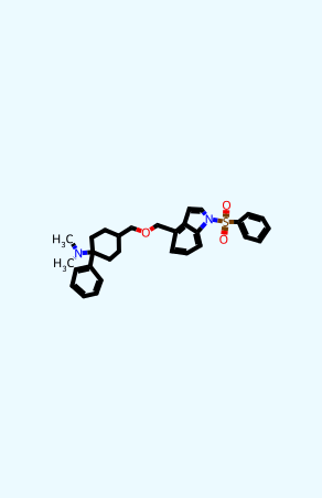 CN(C)C1(c2ccccc2)CCC(COCc2cccc3c2ccn3S(=O)(=O)c2ccccc2)CC1